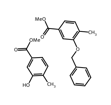 COC(=O)c1ccc(C)c(O)c1.COC(=O)c1ccc(C)c(OCc2ccccc2)c1